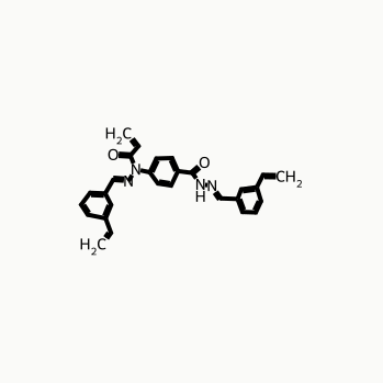 C=CC(=O)N(N=Cc1cccc(C=C)c1)c1ccc(C(=O)NN=Cc2cccc(C=C)c2)cc1